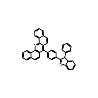 c1ccc(C2C(c3ccc(-c4c5ccc6ccccc6c5nc5c4ccc4ccccc45)cc3)=Nc3ccccc32)cc1